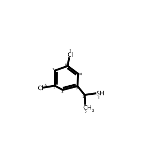 CC(S)c1cc(Cl)cc(Cl)c1